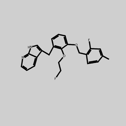 Cc1ccc(COc2cccc(Cc3c[nH]c4ncccc34)c2OCCF)c(F)c1